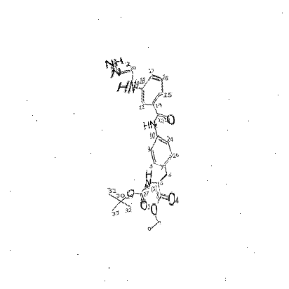 CCOC(=O)[C@H](Cc1ccc(NC(=O)c2cccc(NC=NN)c2)cc1)NC(=O)OC(C)(C)C